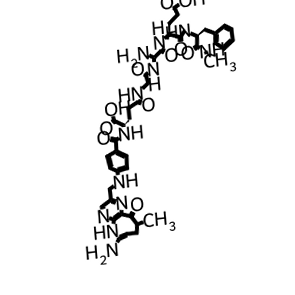 CNC(=O)[C@H](Cc1ccccc1)NC(=O)[C@H](CCC(=O)O)NC(=O)C(N)NC(=O)CNC(=O)CC[C@H](NC(=O)c1ccc(NCc2cnc3c(n2)C(=O)C(C)C/C=C(\N)N3)cc1)C(=O)O